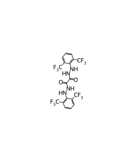 O=C(NNc1c(C(F)(F)F)cccc1C(F)(F)F)C(=O)NNc1c(C(F)(F)F)cccc1C(F)(F)F